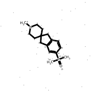 CN1CCC2(CC1)Cc1ccc(P(C)(C)=O)cc1C2